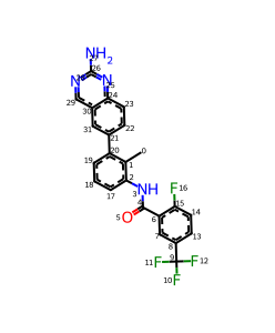 Cc1c(NC(=O)c2cc(C(F)(F)F)ccc2F)cccc1-c1ccc2nc(N)ncc2c1